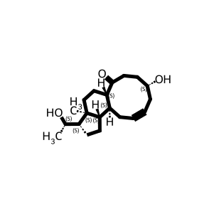 C[C@H](O)[C@H]1CC[C@H]2[C@@H]3CC#CC[C@@H](O)CCC(=O)[C@H]3CC[C@]12C